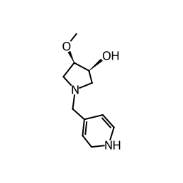 CO[C@@H]1CN(CC2=CCNC=C2)C[C@@H]1O